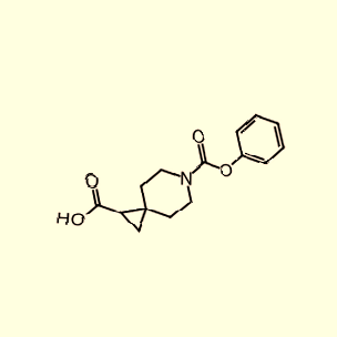 O=C(O)C1CC12CCN(C(=O)Oc1ccccc1)CC2